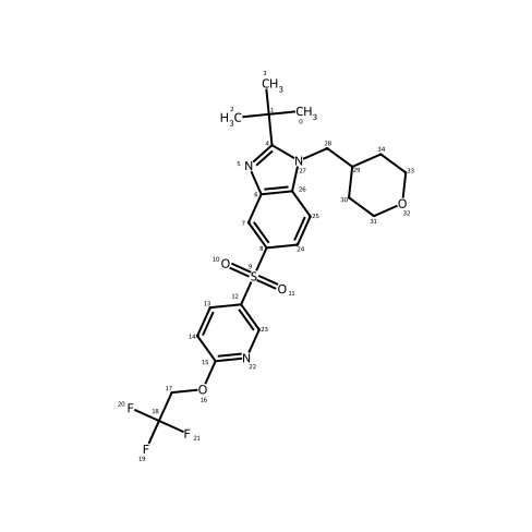 CC(C)(C)c1nc2cc(S(=O)(=O)c3ccc(OCC(F)(F)F)nc3)ccc2n1CC1CCOCC1